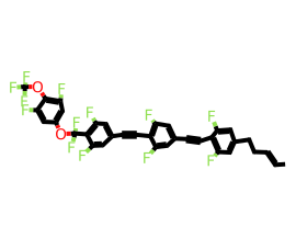 C/C=C/CCc1cc(F)c(C#Cc2cc(F)c(C#Cc3cc(F)c(C(F)(F)Oc4cc(F)c(OC(F)(F)F)c(F)c4)c(F)c3)c(F)c2)c(F)c1